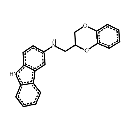 c1ccc2c(c1)OCC(CNc1ccc3[nH]c4ccccc4c3c1)O2